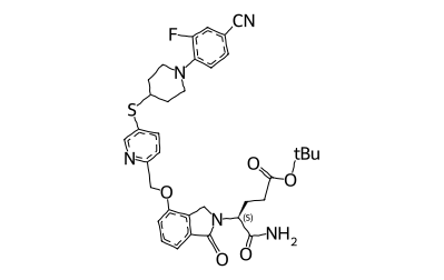 CC(C)(C)OC(=O)CC[C@@H](C(N)=O)N1Cc2c(OCc3ccc(SC4CCN(c5ccc(C#N)cc5F)CC4)cn3)cccc2C1=O